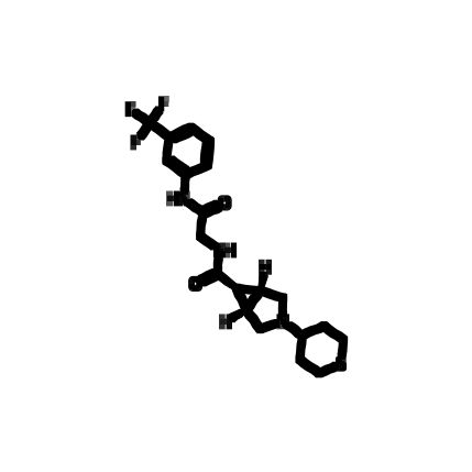 O=C(CNC(=O)[C@H]1[C@@H]2CN(C3CCSCC3)C[C@@H]21)Nc1cccc(C(F)(F)F)c1